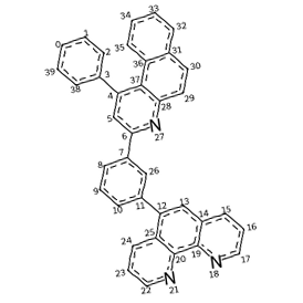 c1ccc(-c2cc(-c3cccc(-c4cc5cccnc5c5ncccc45)c3)nc3ccc4ccccc4c23)cc1